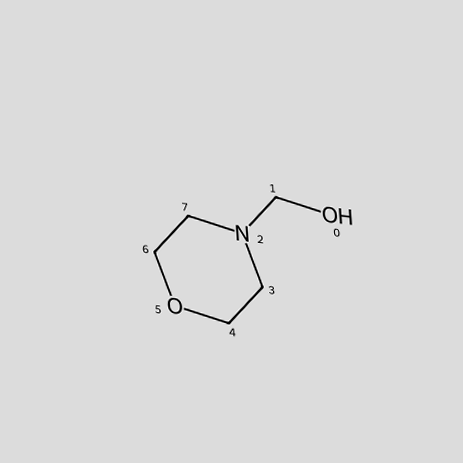 OCN1CCOCC1